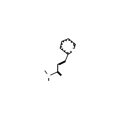 CN(C)C(=O)/C=C/c1ccccn1